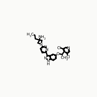 CCCC1(N)CN(c2ccc(-c3n[nH]c4ccc(O[C@H](C)c5c(Cl)cncc5Cl)cc34)nn2)C1